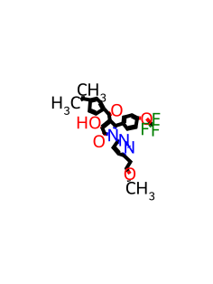 CCOCCc1ccc(N2C(=O)C(O)=C(C(=O)c3ccc(C(C)C)cc3)C2c2ccc(OC(F)(F)F)cc2)nn1